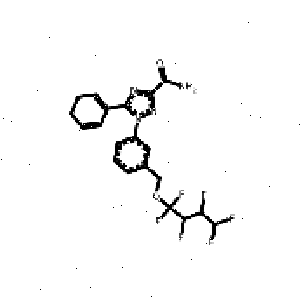 NC(=O)c1nc(C2=CCCC=C2)n(-c2cccc(COC(F)(F)C(F)C(F)C(F)F)c2)n1